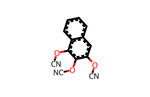 N#COc1cc2ccccc2c(OC#N)c1OC#N